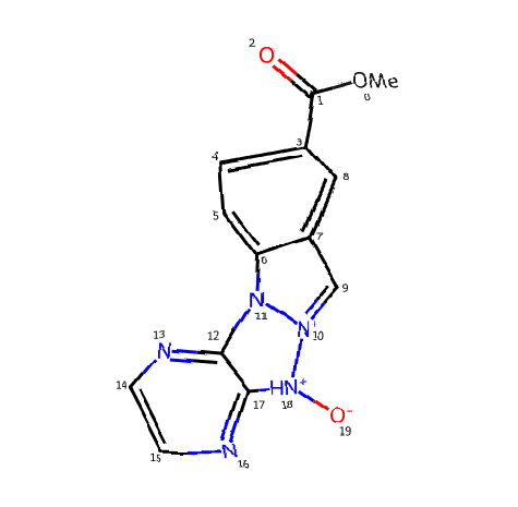 COC(=O)c1ccc2c(c1)c[n+]1n2-c2nccnc2[NH+]1[O-]